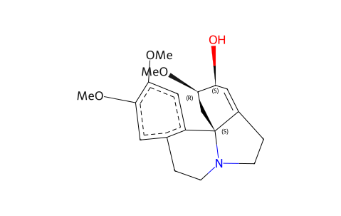 COc1cc2c(cc1OC)[C@]13C[C@@H](OC)[C@@H](O)C=C1CCN3CC2